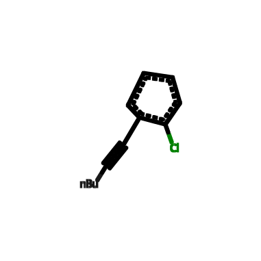 CCCCC#Cc1ccccc1Cl